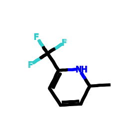 CC1C=CC=C(C(F)(F)F)N1